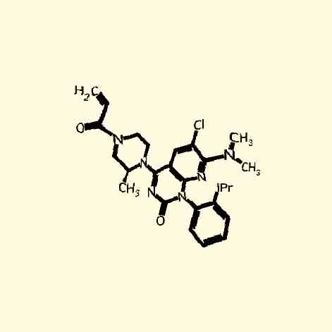 C=CC(=O)N1CCN(c2nc(=O)n(-c3ccccc3C(C)C)c3nc(N(C)C)c(Cl)cc23)[C@@H](C)C1